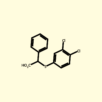 O=C(O)C(Sc1ccc(Cl)c(Cl)c1)c1ccccc1